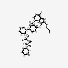 CCCCc1nc2c(C)ccc(OC)c2n1Cc1ccc(-c2ccccc2OC(=O)NS(=O)(=O)c2ccccc2)cc1